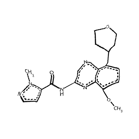 COc1ccc(C2CCOCC2)c2ncc(NC(=O)c3ccnn3C)nc12